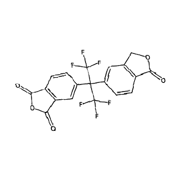 O=C1OCc2cc(C(c3ccc4c(c3)C(=O)OC4=O)(C(F)(F)F)C(F)(F)F)ccc21